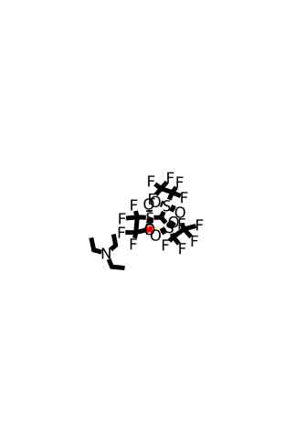 CCN(CC)CC.O=S(=O)(C(S(=O)(=O)C(F)(F)C(F)(F)F)S(=O)(=O)C(F)(F)C(F)(F)F)C(F)(F)C(F)(F)F